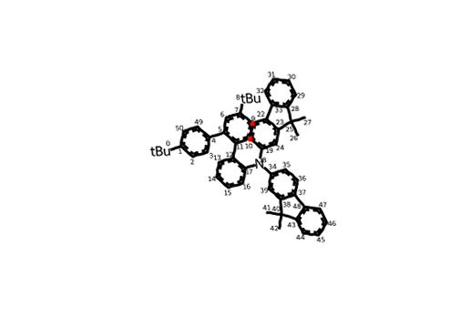 CC(C)(C)c1ccc(-c2cc(C(C)(C)C)ccc2-c2ccccc2N(c2ccc3c(c2)C(C)(C)c2ccccc2-3)c2ccc3c(c2)C(C)(C)c2ccccc2-3)cc1